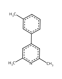 Cc1cccc(-c2cc(C)nc(C)c2)c1